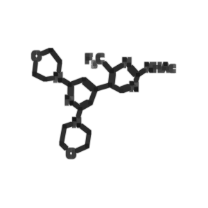 CC(=O)Nc1ncc(-c2cc(N3CCOCC3)nc(N3CCOCC3)c2)c(C(F)(F)F)n1